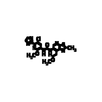 COCCc1c(NC(=O)Nc2cc(Cl)c(-n3nccn3)nc2OC)cnc2sc(C)nc12